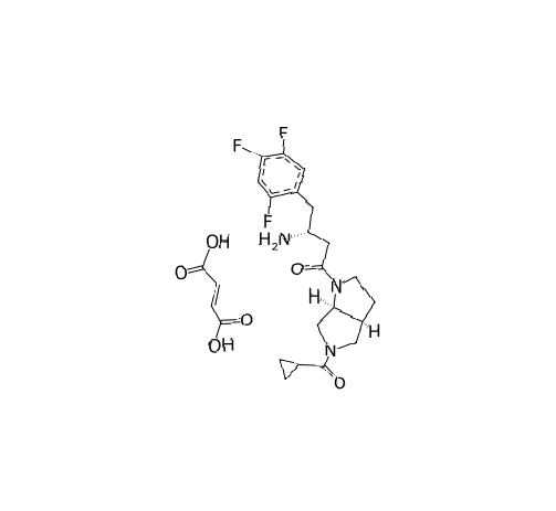 N[C@@H](CC(=O)N1CC[C@H]2CN(C(=O)C3CC3)C[C@H]21)Cc1cc(F)c(F)cc1F.O=C(O)/C=C/C(=O)O